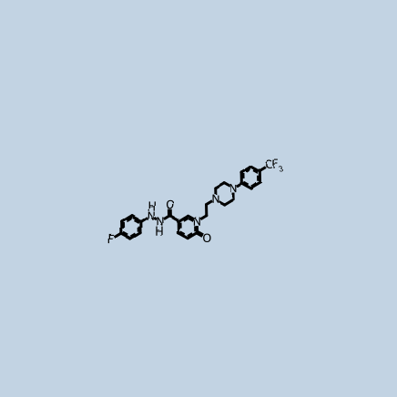 O=C(NNc1ccc(F)cc1)c1ccc(=O)n(CCN2CCN(c3ccc(C(F)(F)F)cc3)CC2)c1